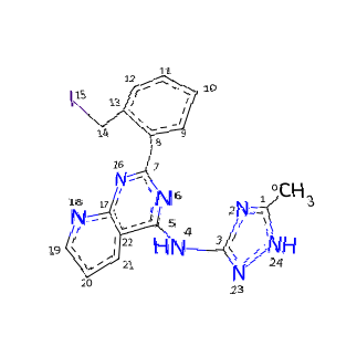 Cc1nc(Nc2nc(-c3ccccc3CI)nc3ncccc23)n[nH]1